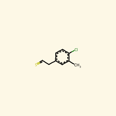 Cc1cc(C[C]=S)ccc1Cl